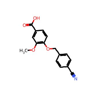 COc1cc(C(=O)O)ccc1OCc1ccc(C#N)cc1